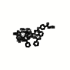 CCCCOC(=O)c1ccc(OC(=O)O[C@@H](C(=O)O[C@H]2C[C@@]3(O)[C@@H](OC(=O)c4ccccc4)[C@@H]4[C@]5(OC(C)=O)O[C@@H]5C[C@H](O)[C@@]4(C)C(=O)[C@H](OC(C)=O)C(=C2C)C3(C)C)[C@@H](NC(=O)c2ccccc2)c2ccccc2)cc1